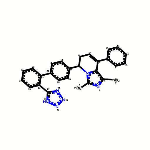 CCCCc1nc(CCCC)n2c1C(c1ccccc1)=CCC2c1ccc(-c2ccccc2-c2nnn[nH]2)cc1